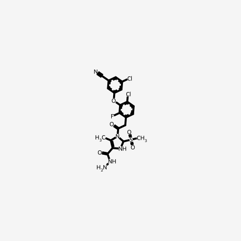 CC1=C(C(=O)NN)NC(S(C)(=O)=O)N1C(=O)Cc1ccc(Cl)c(Oc2cc(Cl)cc(C#N)c2)c1F